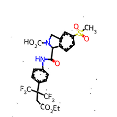 CCOC(=O)CC(c1ccc(NC(=O)C2c3ccc(S(C)(=O)=O)cc3CN2C(=O)O)cc1)(C(F)(F)F)C(F)(F)F